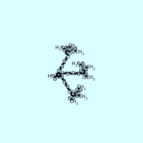 CC(=O)OC[C@H]1O[C@@H](OCCOCCOCCOc2cc(C(=O)O)cc(OCCOCCOCCO[C@H]3C[C@@H](OC(C)=O)[C@@H](OC(C)=O)[C@@H](COC(C)=O)O3)c2OCCOCCOCCO[C@H]2C[C@@H](OC(C)=O)[C@@H](OC(C)=O)[C@@H](COC(C)=O)O2)C[C@@H](OC(C)=O)[C@H]1OC(C)=O